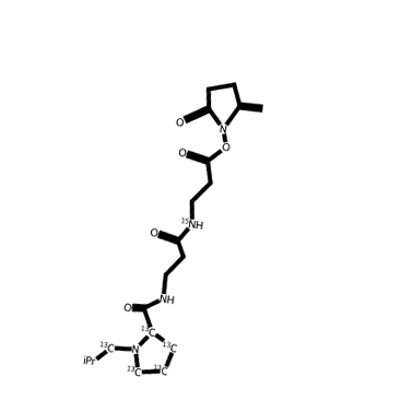 C=C1CCC(=O)N1OC(=O)CC[15NH]C(=O)CCNC(=O)[13CH]1[13CH2][13CH2][13CH2]N1[13CH2]C([13CH3])[13CH3]